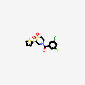 O=C(c1cc(F)cc(Cl)c1)N1CCS(=O)(=O)[C@H](c2cccs2)C1